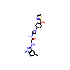 Cc1ccc2c(c1)c(NCC(=O)NC1CN(C3CCC(O)(c4nccs4)CC3)C1)nn2C